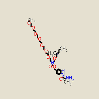 [CH2]C/C=C(\C)COCN(CCOCCOCCOCCOCCOCCOCCOC)C(=O)OCc1ccc(NC(=O)[C@H](C)N)cc1